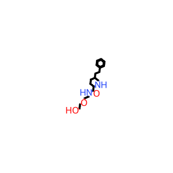 O=C(NCCOCCO)C1CCC(CCc2ccccc2)CN1